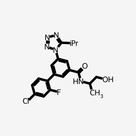 CC(CO)NC(=O)c1cc(-c2ccc(Cl)cc2F)cc(-n2nnnc2C(C)C)c1